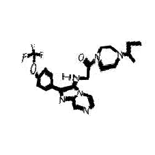 CCC(C)N1CCN(C(=O)CNc2c(-c3ccc(OC(F)(F)F)cc3)nc3cnccn23)CC1